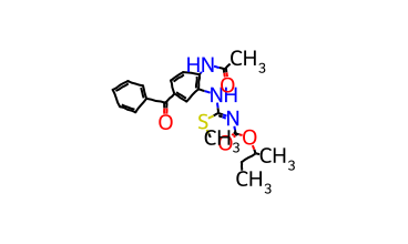 CCC(C)OC(=O)N=C(Nc1cc(C(=O)c2ccccc2)ccc1NC(C)=O)SC